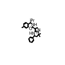 Cc1ccc(C(NC(=O)c2cnn3c2NC(c2ccccc2)CC3(C)C)C(C)C)cc1